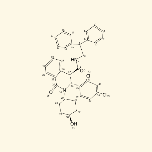 O=C(NCC(c1ccccc1)c1ccccc1)[C@@H]1c2ccccc2C(=O)N([C@H]2CC[C@H](O)CC2)[C@H]1c1ccc(Cl)cc1Cl